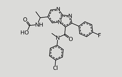 CC(NC(=O)O)c1cnc2nc(-c3ccc(F)cc3)c(C(=O)N(C)c3ccc(Cl)cc3)n2c1